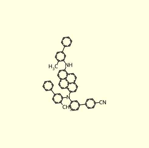 Cc1ccc(-c2ccccc2)cc1Nc1ccc2ccc3c(N(c4cccc(-c5ccc(C#N)cc5)c4)c4cc(-c5ccccc5)ccc4C)ccc4ccc1c2c43